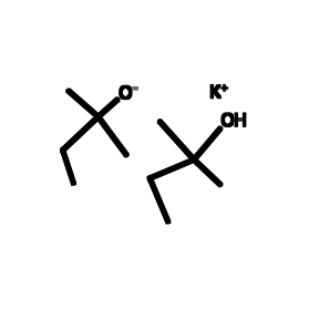 CCC(C)(C)O.CCC(C)(C)[O-].[K+]